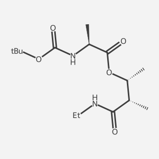 CCNC(=O)[C@@H](C)[C@@H](C)OC(=O)[C@H](C)NC(=O)OC(C)(C)C